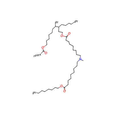 CCCCCCC(=O)OCCCCCCC(C(C)C)C(CCCCC(C)C)CCOC(=O)CCCCCCCCN(C)CCCCCCCCC(=O)OCCCCCCCC(C)C